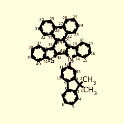 CC1(C)c2ccccc2-c2ccc(-n3c4ccccc4c4c5c6ccccc6c6ccccc6c5c5c6ccccc6sc5c43)cc21